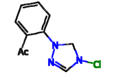 CC(=O)c1ccccc1N1CN(Cl)C=N1